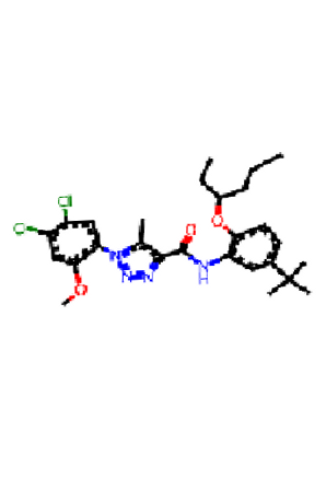 CCCC(CC)Oc1ccc(C(C)(C)C)cc1NC(=O)c1nnn(-c2cc(Cl)c(Cl)cc2OC)c1C